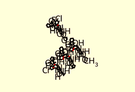 COCCOC(=O)Nc1nc2cc(C3(O)c4ccccc4C(=O)N3c3cccc(Cl)c3F)ccc2[nH]1.O=C(Cc1cccs1)Nc1nc2cc(C3(O)c4ccccc4C(=O)N3c3cccc(Cl)c3F)ccc2[nH]1.O=C(Nc1nc2cc(C3(O)c4ccccc4C(=O)N3c3cccc(Cl)c3F)ccc2[nH]1)C1CC1.O=C(Nc1nc2ccc(C3(O)c4ccccc4C(=O)N3c3cccc(Cl)c3F)cc2[nH]1)OCC1CCCO1